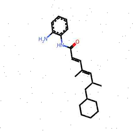 CC(/C=C/C(=O)Nc1ccccc1N)=C\C(C)CC1CCCCC1